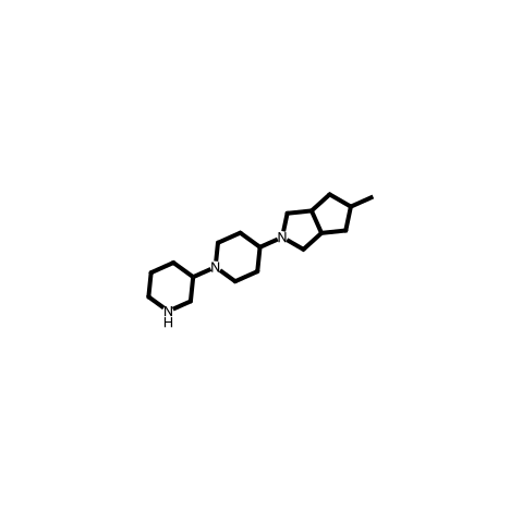 CC1CC2CN(C3CCN(C4CCCNC4)CC3)CC2C1